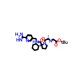 C[C@H](N=CC(=O)OC(C)(C)C)C(=O)N1CCC[C@]1(C(=O)NCc1ccc(C(=N)N)nc1)C1CCCCC1